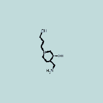 NCC1CCN(CCCO)C[C@H]1O